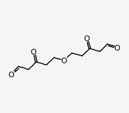 O=CCC(=O)CCOCCC(=O)CC=O